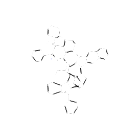 CC/C(=N\C(=N/C(CC)c1cccc2c1c1ccccc1n2-c1ccccc1)c1c(-n2c3cc4ccccc4cc3c3c4ccccc4ccc32)ccc2c3c(oc12)C=CCC3)c1ccccc1